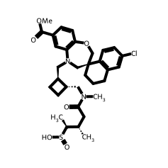 COC(=O)c1ccc2c(c1)N(C[C@@H]1CC[C@H]1CN(C)C(=O)C[C@H](C)[C@H](C)S(=O)O)C[C@@]1(CCCc3cc(Cl)ccc31)CO2